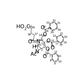 CC(=O)N1C2C(OC(=O)c3ccccc3)[C@@H](OC(=O)c3ccccc3)C(COC(=O)c3ccccc3)N(C(=O)CCCC(=O)O)[C@@H]21